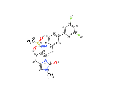 Cn1cc2n(c1=O)[C@@H](Cc1cccc(-c3cc(F)cc(F)c3)c1)[C@@H](NS(C)(=O)=O)CC2